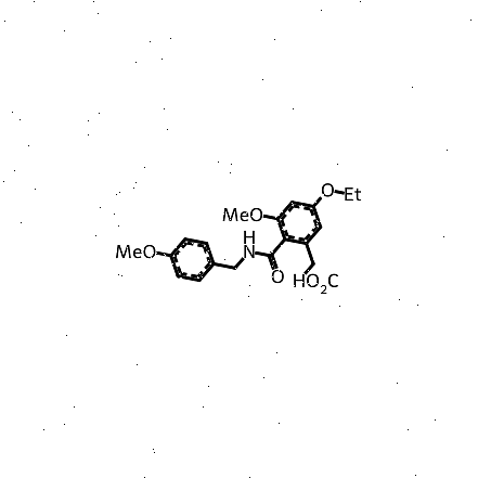 CCOc1cc(CC(=O)O)c(C(=O)NCc2ccc(OC)cc2)c(OC)c1